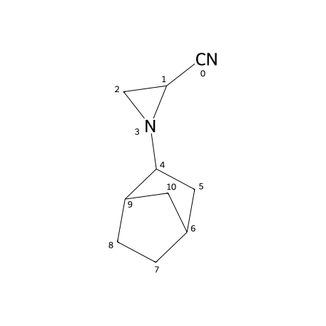 N#CC1CN1C1CC2CCC1C2